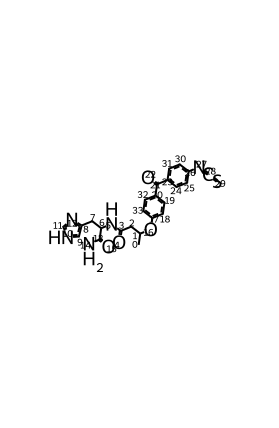 CC(CC(=O)NC(Cc1c[nH]cn1)C(N)=O)Oc1ccc(C(=O)c2ccc(N=C=S)cc2)cc1